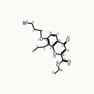 CCCc1c(OCCCBr)ccc2c(=O)cc(C(=O)OCC)oc12